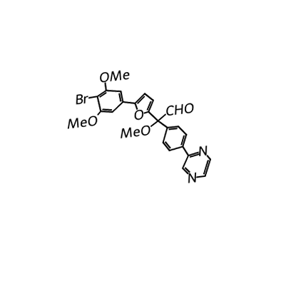 COc1cc(-c2ccc(C(C=O)(OC)c3ccc(-c4cnccn4)cc3)o2)cc(OC)c1Br